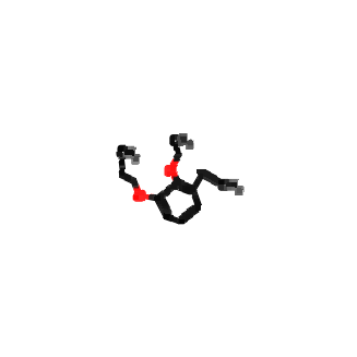 C=[C]c1cccc(OCCC)c1OCC